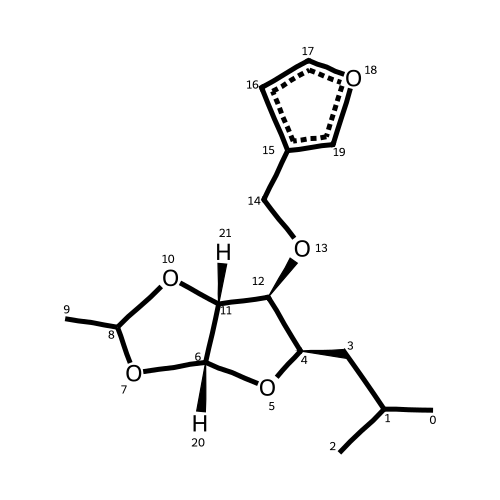 CC(C)C[C@H]1O[C@@H]2OC(C)O[C@@H]2[C@H]1OCc1ccoc1